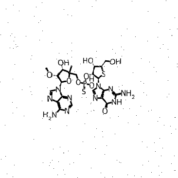 CO[C@H]1[C@H](n2cnc3c(N)ncnc32)OC(C)(COP(O)(=S)O[C@@H]2[C@H](O)[C@@H](CO)S[C@H]2n2cnc3c(=O)[nH]c(N)nc32)[C@H]1O